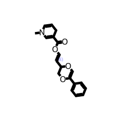 CN1C=CCC(C(=O)O/C=C/C2COC(c3ccccc3)=CO2)=C1